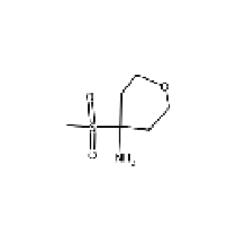 CS(=O)(=O)C1(N)CCOCC1